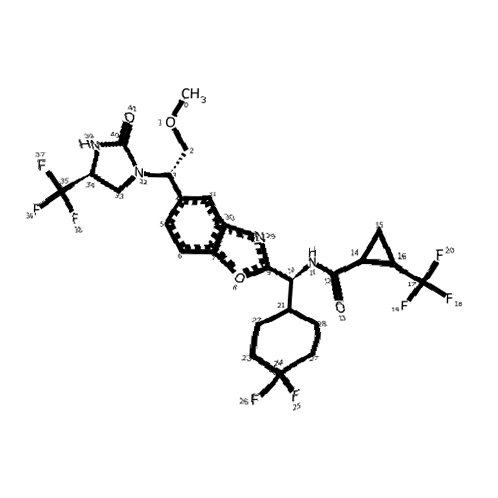 COC[C@H](c1ccc2oc([C@@H](NC(=O)C3CC3C(F)(F)F)C3CCC(F)(F)CC3)nc2c1)N1C[C@@H](C(F)(F)F)NC1=O